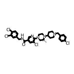 C[C@@H]1CN(c2ncc(C(=O)NCc3ccc(Cl)c(Cl)c3)cc2Cl)CCN1C1CCN(Cc2ccc(Cl)cc2)CC1